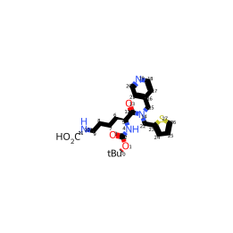 CC(C)(C)OC(=O)N[C@@H](CCCCNC(=O)O)C(=O)N(Cc1ccncc1)Cc1cccs1